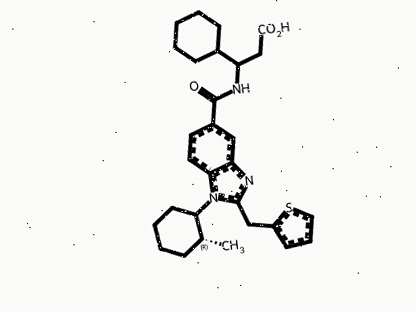 C[C@@H]1CCCCC1n1c(Cc2cccs2)nc2cc(C(=O)NC(CC(=O)O)C3CCCCC3)ccc21